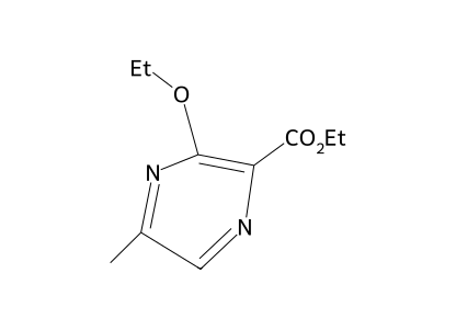 CCOC(=O)c1ncc(C)nc1OCC